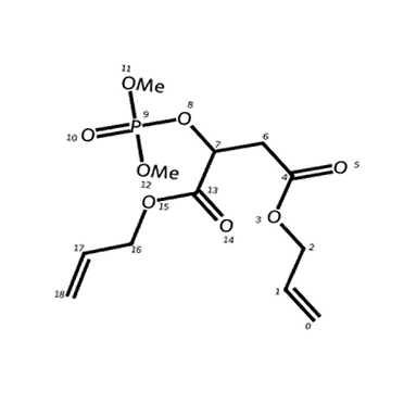 C=CCOC(=O)CC(OP(=O)(OC)OC)C(=O)OCC=C